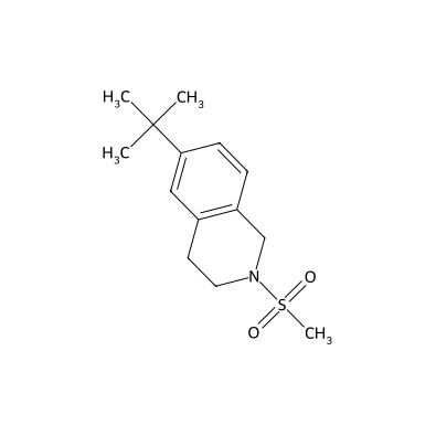 CC(C)(C)c1ccc2c(c1)CCN(S(C)(=O)=O)C2